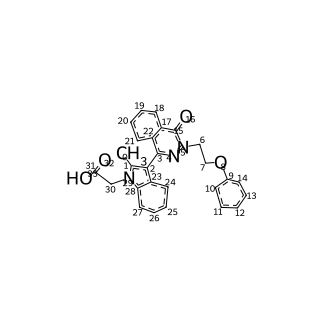 Cc1c(-c2nn(CCOc3ccccc3)c(=O)c3ccccc23)c2ccccc2n1CC(=O)O